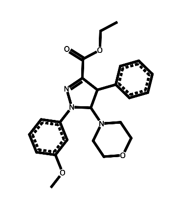 CCOC(=O)C1=NN(c2cccc(OC)c2)C(N2CCOCC2)C1c1ccccc1